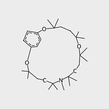 CN1C(C)(C)CCC(C)(C)Oc2ccc(cc2)OC(C)(C)CCC(C)(C)OC(C)(C)CCC1(C)C